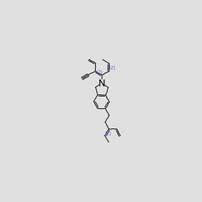 C#C/C(C=C)=C(/C=C\C)N1Cc2ccc(CC/C(C=C)=C/C)cc2C1